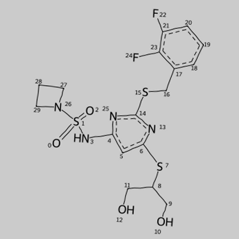 O=S(=O)(Nc1cc(SC(CO)CO)nc(SCc2cccc(F)c2F)n1)N1CCC1